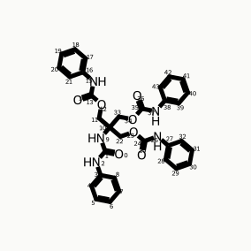 O=C(Nc1ccccc1)NC(COC(=O)Nc1ccccc1)(COC(=O)Nc1ccccc1)COC(=O)Nc1ccccc1